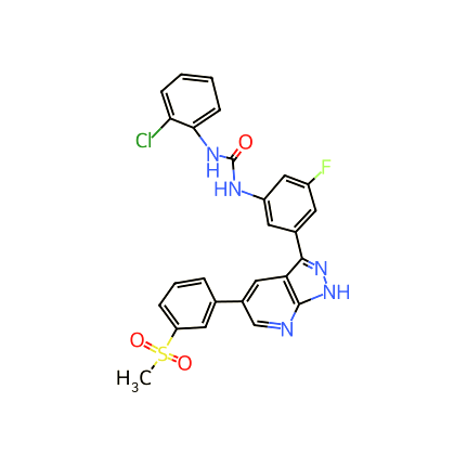 CS(=O)(=O)c1cccc(-c2cnc3[nH]nc(-c4cc(F)cc(NC(=O)Nc5ccccc5Cl)c4)c3c2)c1